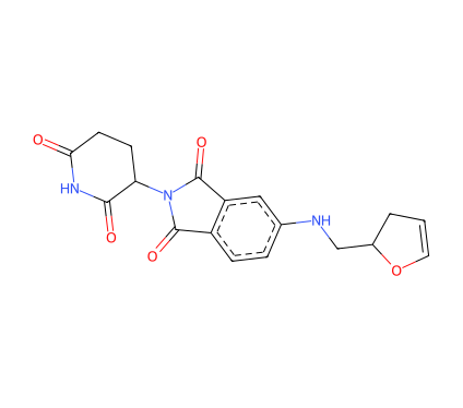 O=C1CCC(N2C(=O)c3ccc(NCC4CC=CO4)cc3C2=O)C(=O)N1